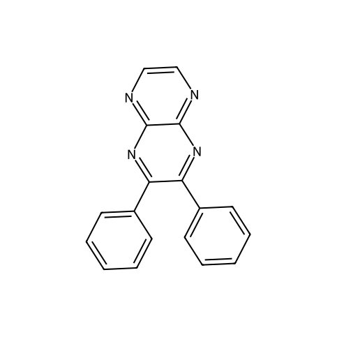 c1ccc(-c2nc3nccnc3nc2-c2ccccc2)cc1